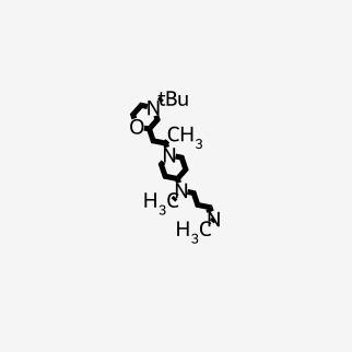 C/N=C\CCN(C)C1CCN(C(C)CC2CN(C(C)(C)C)CCO2)CC1